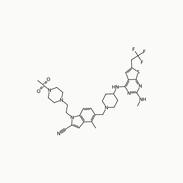 CNc1nc(NC2CCN(Cc3ccc4c(cc(C#N)n4CCN4CCN(S(C)(=O)=O)CC4)c3C)CC2)c2cc(CC(F)(F)F)sc2n1